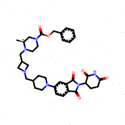 C[C@H]1CN(C(=O)OCc2ccccc2)CCN1CC1CN(CC2CCN(c3ccc4c(c3)C(=O)N(C3CCC(=O)NC3=O)C4=O)CC2)C1